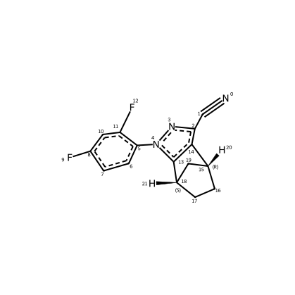 N#Cc1nn(-c2ccc(F)cc2F)c2c1[C@@H]1CC[C@H]2C1